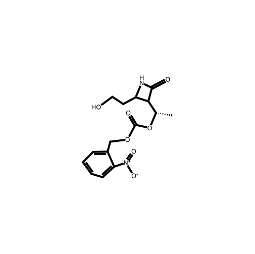 C[C@H](OC(=O)OCc1ccccc1[N+](=O)[O-])C1C(=O)NC1CCO